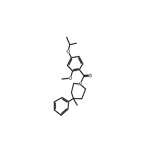 COc1cc(OC(C)C)ccc1C(=O)N1CCC(C)(c2ccccc2)CC1